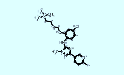 Cn1nc(-c2ccc(F)nc2)nc1Nc1ccc(Cl)cc1OCOCC[Si](C)(C)C